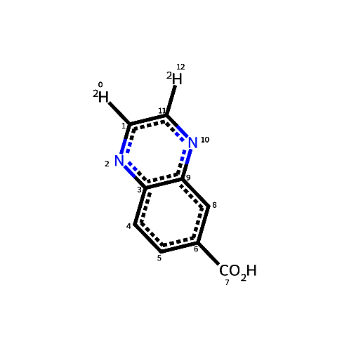 [2H]c1nc2ccc(C(=O)O)cc2nc1[2H]